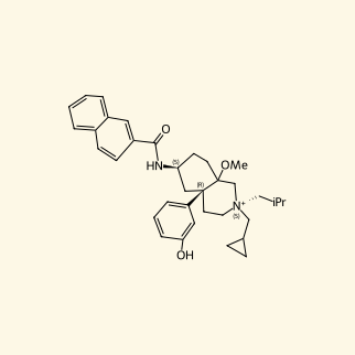 COC12CC[C@H](NC(=O)c3ccc4ccccc4c3)C[C@@]1(c1cccc(O)c1)CC[N@+](CC(C)C)(CC1CC1)C2